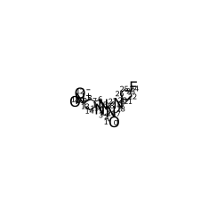 O=CC(Cn1ncc2cc([N+](=O)[O-])ccc21)N1CCN(c2ccc(F)cc2)CC1